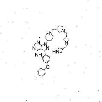 Nc1ncnc2c1c(-c1ccc(Oc3ccccc3)cc1)nn2C1CCN(CC2CCN(CC3CN(CC4CNC4)C3)C2)CC1